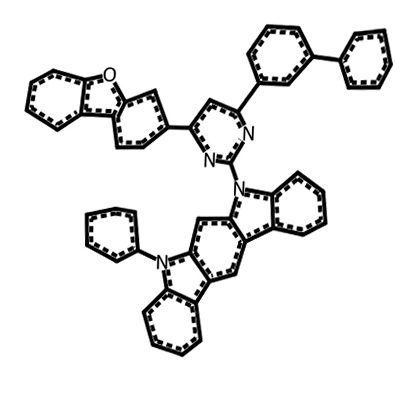 c1ccc(-c2cccc(-c3cc(-c4ccc5c(c4)oc4ccccc45)nc(-n4c5ccccc5c5cc6c7ccccc7n(-c7ccccc7)c6cc54)n3)c2)cc1